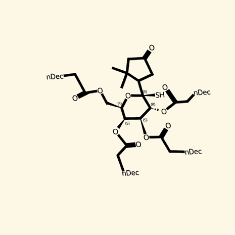 CCCCCCCCCCCC(=O)OC[C@H]1O[C@](S)(C2CC(=O)CC2(C)C)[C@H](OC(=O)CCCCCCCCCCC)[C@@H](OC(=O)CCCCCCCCCCC)[C@H]1OC(=O)CCCCCCCCCCC